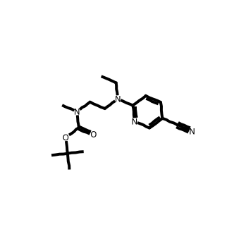 CCN(CCN(C)C(=O)OC(C)(C)C)c1ccc(C#N)cn1